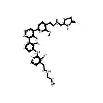 COc1nc(-c2ccnc(-c3cccc(Nc4nccc(CCNCCO)c4F)c3Cl)c2Cl)ccc1CCNCC1CCC(=O)N1